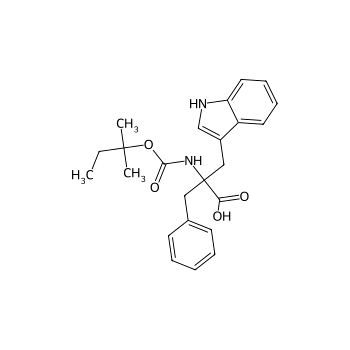 CCC(C)(C)OC(=O)NC(Cc1ccccc1)(Cc1c[nH]c2ccccc12)C(=O)O